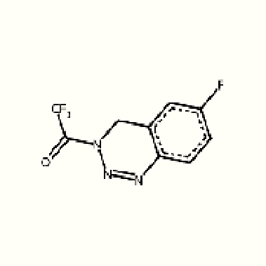 O=C(N1Cc2cc(F)ccc2N=N1)C(F)(F)F